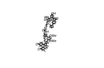 COc1ncc(-c2nc3c(n2CCCn2cc(CNC(=O)COCCOCC(=O)N[C@H](C(=O)N4C[C@H](O)C[C@H]4C(=O)N[C@@H](C)c4ccc(-c5scnc5C)cc4)C(C)(C)C)nn2)[C@H](c2ccc(Cl)cc2)N(c2cc(Cl)cn(C)c2=O)C3=O)c(OC)n1